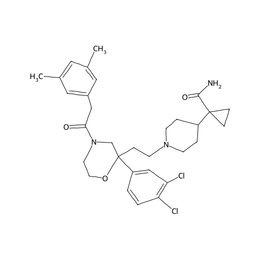 Cc1cc(C)cc(CC(=O)N2CCOC(CCN3CCC(C4(C(N)=O)CC4)CC3)(c3ccc(Cl)c(Cl)c3)C2)c1